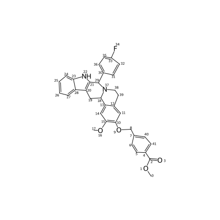 COC(=O)c1ccc(COc2cc3c(cc2OC)C2Cc4c([nH]c5ccccc45)C(c4ccc(F)cc4)N2CC3)cc1